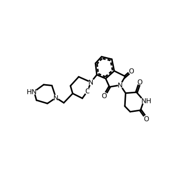 O=C1CCC(N2C(=O)c3cccc(N4CCC(CN5CCNCC5)CC4)c3C2=O)C(=O)N1